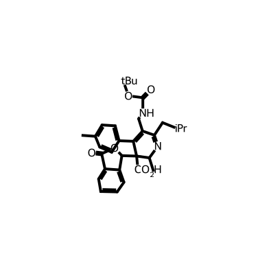 Cc1ccc(C2=C(CNC(=O)OC(C)(C)C)C(CC(C)C)=NC(C)C2(C(=O)O)C2OC(=O)c3ccccc32)cc1